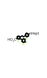 CCCCCCCc1ccc(CCc2ccc(C(=O)O)c(F)c2-c2cc(F)c(F)c(F)c2)cc1